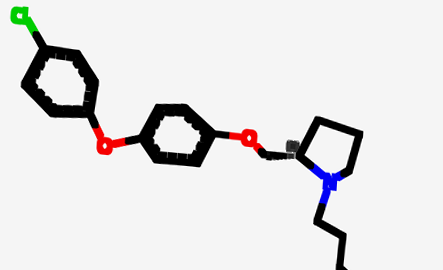 CCOC(=O)CCCN1CCC[C@H]1COc1ccc(Oc2ccc(Cl)cc2)cc1